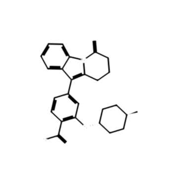 NC(=O)c1ccc(-c2c3n(c4ccccc24)C(=O)CCC3)cc1N[C@H]1CC[C@H](O)CC1